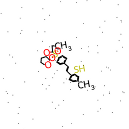 CCC(OC1CCCOC1)S(=O)(=O)c1ccc(C=Cc2ccc(C)cc2S)cc1